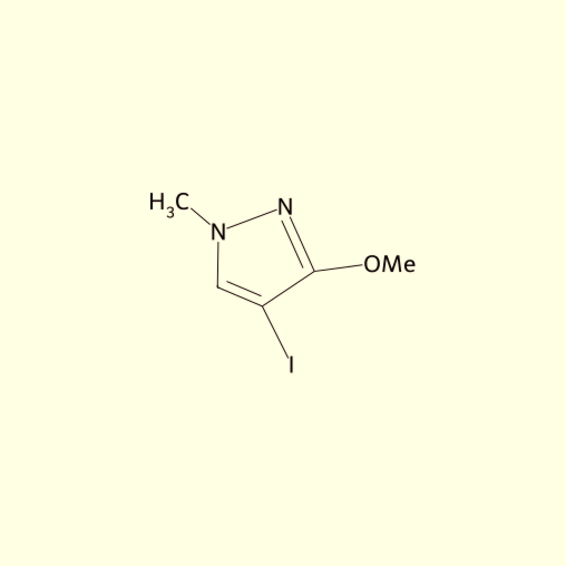 COc1nn(C)cc1I